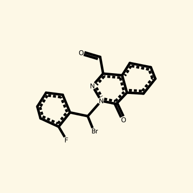 O=Cc1nn(C(Br)c2ccccc2F)c(=O)c2ccccc12